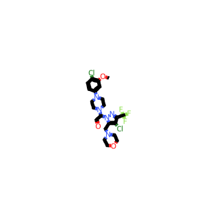 COc1cc(N2CCN(C(C=O)n3nc(C(F)(F)F)c(Cl)c3CN3CCOCC3)CC2)ccc1Cl